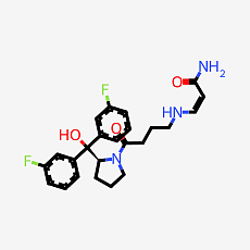 NC(=O)/C=C\NCCCC(=O)N1CCC[C@H]1C(O)(c1cccc(F)c1)c1cccc(F)c1